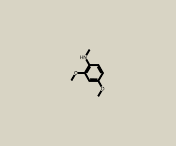 CNc1ccc(OC)cc1OC